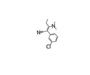 CCC(=C(C#N)c1cccc(Cl)c1)N(C)C